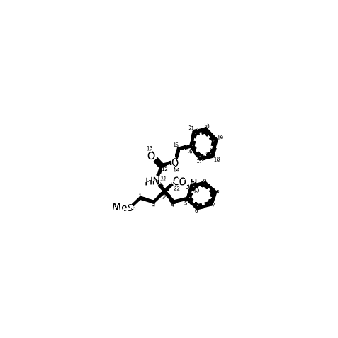 CSCCC(Cc1ccccc1)(NC(=O)OCc1ccccc1)C(=O)O